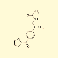 CC(CNC(N)=O)c1ccc(C(=O)C2CC=CS2)cc1